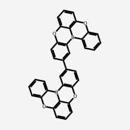 c1ccc2c(c1)Oc1cccc3c1B2c1cc(-c2ccc4c(c2)B2c5ccccc5Oc5cccc(c52)O4)ccc1O3